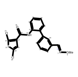 CO/N=C/c1cccc(-c2ccccc2NC(=O)c2cc(Cl)sc2Cl)c1